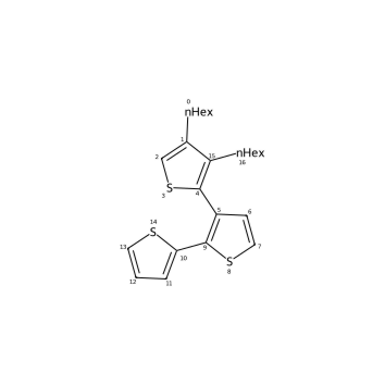 CCCCCCc1csc(-c2ccsc2-c2cccs2)c1CCCCCC